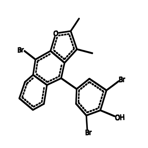 Cc1oc2c(Br)c3ccccc3c(-c3cc(Br)c(O)c(Br)c3)c2c1C